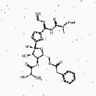 CCCC(C)N(C)C(=O)N/C(=N/C=N)c1ccc([C@]2(C#N)O[C@H](COC(=O)Cc3ccccc3)[C@@H](OC(=O)[C@@H](N)C(C)(C)C)[C@H]2O)[nH]1